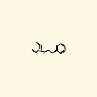 CC[SiH](CC)OCCc1ccccc1